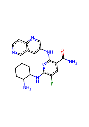 NC(=O)c1cc(F)c(NC2CCCCC2N)nc1Nc1cnc2ccncc2c1